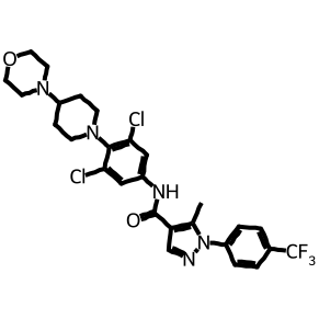 Cc1c(C(=O)Nc2cc(Cl)c(N3CCC(N4CCOCC4)CC3)c(Cl)c2)cnn1-c1ccc(C(F)(F)F)cc1